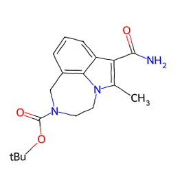 Cc1c(C(N)=O)c2cccc3c2n1CCN(C(=O)OC(C)(C)C)C3